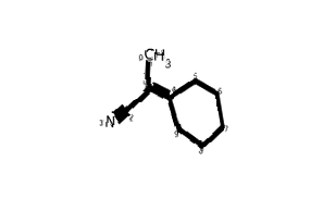 CC(C#N)=C1CCCCC1